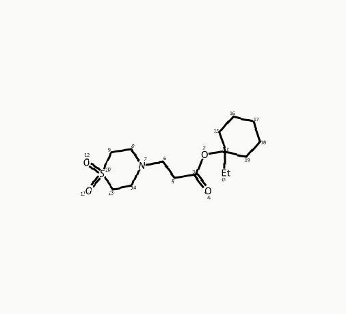 CCC1(OC(=O)CCN2CCS(=O)(=O)CC2)CCCCC1